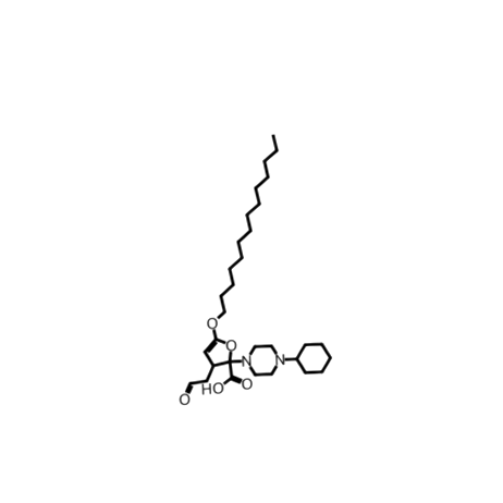 CCCCCCCCCCCCCCOC1=CC(CC=O)C(C(=O)O)(N2CCN(C3CCCCC3)CC2)O1